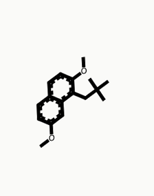 COc1ccc2ccc(OC)c(CC(C)(C)C)c2c1